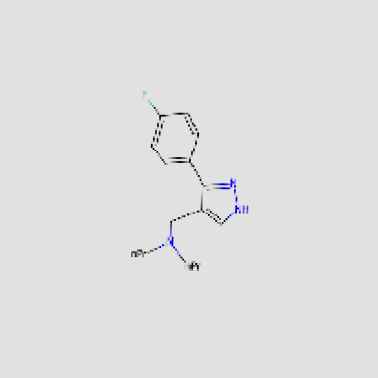 CCCN(CCC)Cc1c[nH]nc1-c1ccc(F)cc1